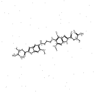 COc1cc2sc(C(=O)C[C@H](C)C(O)O)cc2cc1NCCCOc1c(OC)cc2sc(C(=O)C[C@H](C)C(=O)O)cc2c1F